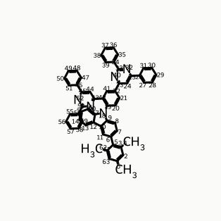 Cc1cc(C)c(-c2ccc3c(c2)c2ccccc2n3-c2ccc(-c3cc(-c4ccccc4)nc(-c4ccccc4)n3)cc2-c2cc(-c3ccccc3)nc(-c3ccccc3)n2)c(C)c1